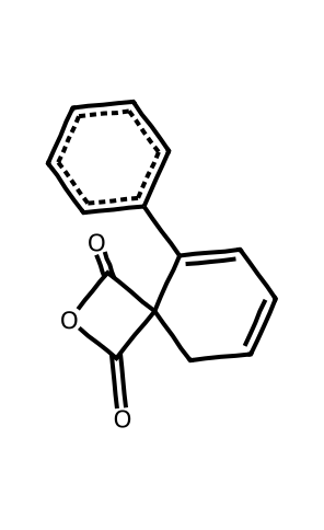 O=C1OC(=O)C12CC=CC=C2c1ccccc1